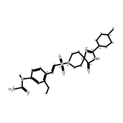 CCc1cc(N(C)C(N)=O)ccc1C=CS(=O)(=O)N1CCC2(CC1)N=C(C1CCC(C)CC1)NC2=O